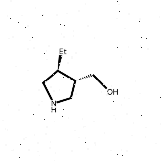 CC[C@@H]1CNC[C@H]1CO